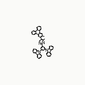 Cc1cc2c3ccccc3c3ccccc3c2cc1-c1cnc(-c2cc(-n3c4ccccc4c4ccccc43)cc(-n3c4ccccc4c4ccccc43)c2)nc1C